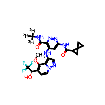 [2H]C([2H])([2H])NC(=O)c1nnc(NC(=O)C2CC23CC3)cc1Nc1cnn2ccc([C@H](O)C(F)(F)F)c(OC)c12